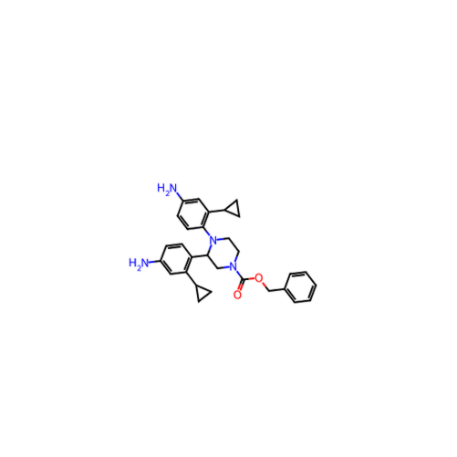 Nc1ccc(C2CN(C(=O)OCc3ccccc3)CCN2c2ccc(N)cc2C2CC2)c(C2CC2)c1